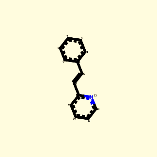 [c]1ccccc1/C=C/c1ccccn1